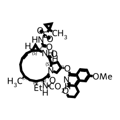 CC[C@@H]1C[C@@H](C)CCC=C[C@@H]2C[C@@]2(C(=O)NS(=O)(=O)C2(C)CC2)NC(=O)[C@@H]2C[C@@H](Oc3nc4c(c5cc(OC)ccc35)CCCO4)CN2C(=O)[C@H]1NC(=O)O